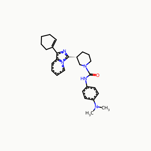 CN(C)c1ccc(NC(=O)N2CCC[C@@H](c3nc(C4=CCCCC4)c4ccccn34)C2)cc1